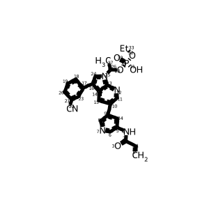 C=CC(=O)Nc1cncc(-c2cnc3c(c2)c(-c2cccc(C#N)c2)cn3C(C)OP(=O)(O)OCC)c1